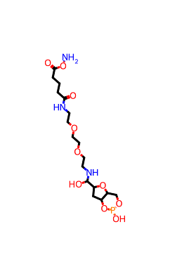 NOC(=O)CCCC(=O)NCCOCCOCCNC(O)C1CC2OP(O)OCC2O1